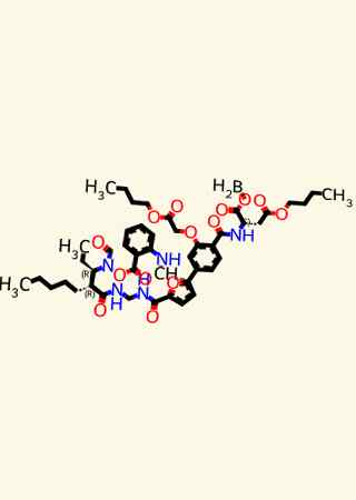 BOC(=O)[C@H](CC(=O)OCCCC)NC(=O)c1ccc(-c2ccc(C(=O)NCNC(=O)[C@H](CCCCC)[C@@H](CC)N(C=O)OC(=O)c3ccccc3NC)o2)cc1OCC(=O)OCCCC